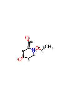 CCON1CCC(=O)CC1=C=O